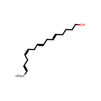 CCCCCC=CC/C=C\CC=CCC=CCCCCO